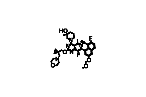 C#Cc1c(F)ccc2cc(OCOC)cc(-c3nc(C)c4c(N5CCCC(C)(O)C5)nc(OCC5(CN6CCOCC6)CC5)nc4c3F)c12